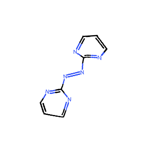 c1cnc(N=Nc2ncccn2)nc1